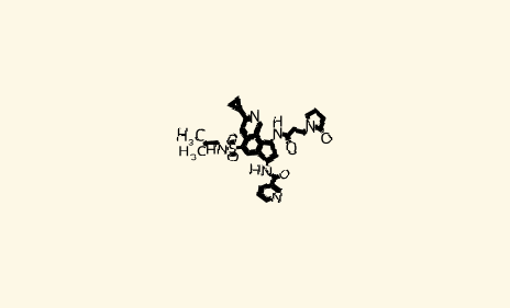 CC(C)CNS(=O)(=O)c1cc2c(c3cnc(C4CC4)cc13)[C@H](NC(=O)CCN1CCCC1=O)C[C@H]2NC(=O)c1cccnc1